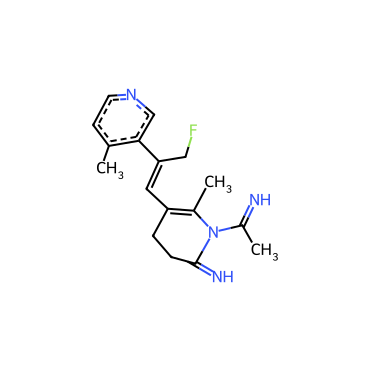 CC(=N)N1C(=N)CCC(/C=C(\CF)c2cnccc2C)=C1C